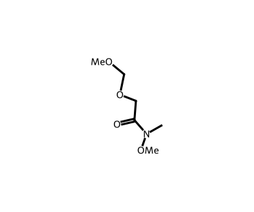 COCOCC(=O)N(C)OC